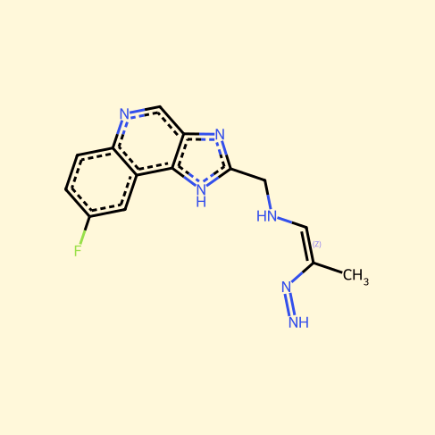 C/C(=C/NCc1nc2cnc3ccc(F)cc3c2[nH]1)N=N